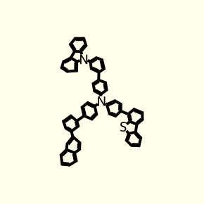 c1cc(-c2ccc(N(c3ccc(-c4cccc(-n5c6ccccc6c6ccccc65)c4)cc3)c3ccc(-c4cccc5c4sc4ccccc45)cc3)cc2)cc(-c2ccc3ccccc3c2)c1